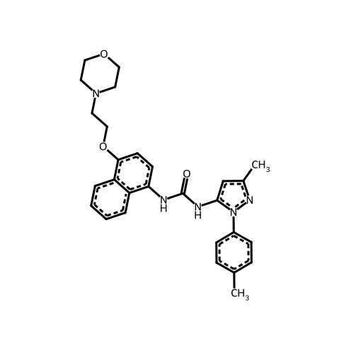 Cc1ccc(-n2nc(C)cc2NC(=O)Nc2ccc(OCCN3CCOCC3)c3ccccc23)cc1